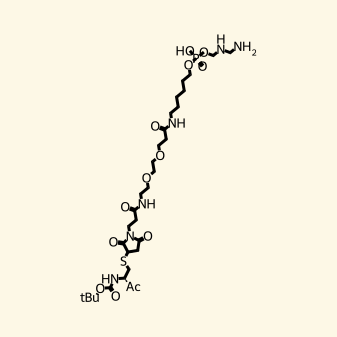 CC(=O)[C@@H](CSC1CC(=O)N(CCC(=O)NCCOCCOCCC(=O)NCCCCCCOP(=O)(O)OCNCN)C1=O)NC(=O)OC(C)(C)C